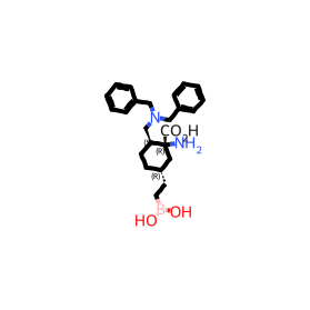 N[C@]1(C(=O)O)C[C@H](CCB(O)O)CC[C@H]1CN(Cc1ccccc1)Cc1ccccc1